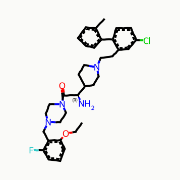 CCOc1cccc(F)c1CN1CCN(C(=O)[C@H](N)C2CCN(CCc3cc(Cl)ccc3-c3ccccc3C)CC2)CC1